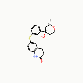 C[C@H]1C[C@@](O)(c2cccc(Sc3ccc4c(c3)CCC(=O)N4)c2)CCO1